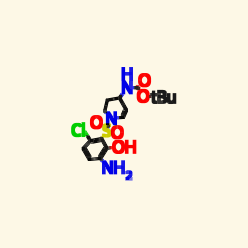 CC(C)(C)OC(=O)NC1C=CN(S(=O)(=O)c2c(Cl)ccc(N)c2O)CC1